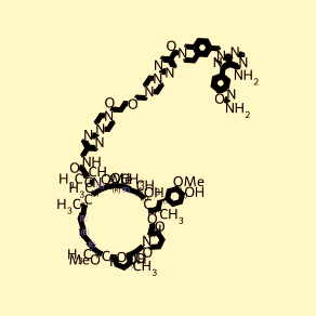 CO[C@H]1C[C@@H]2CC[C@@H](C)[C@@](O)(O2)C(=O)C(=O)N2CCCC[C@H]2C(=O)O[C@H]([C@H](C)C[C@@H]2CC[C@@H](O)[C@H](OC)C2)C[C@@H](O)[C@H](C)/C=C(\C)[C@@H](O)[C@@H](OC)/C(=N/OC(C)(C)C(=O)NCc2cnc(N3CCN(C(=O)CCOCCN4CCN(c5ncc(C(=O)N6CCc7cc(Cn8nc(-c9ccc%10oc(N)nc%10c9)c9c(N)ncnc98)ccc7C6)cn5)CC4)CC3)nc2)[C@H](C)C[C@H](C)/C=C/C=C/C=C/1C